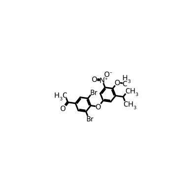 COc1c(C(C)C)cc(Oc2c(Br)cc(C(C)=O)cc2Br)cc1[N+](=O)[O-]